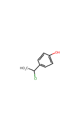 O=C(O)C(Cl)c1ccc(O)cc1